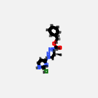 C[C@H](CNc1ccnc(Cl)n1)NC(=O)OCc1ccccc1